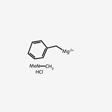 CNC.Cl.[Mg+2][CH2]c1ccccc1